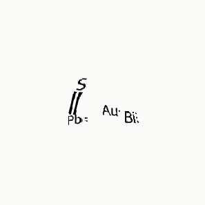 [Au].[Bi].[S]=[Pb]